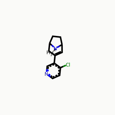 CN1C2C=C(c3cnccc3Cl)CC1CC2